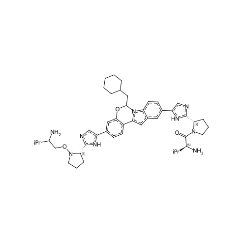 CC(C)C(N)CON1CCC[C@H]1c1ncc(-c2ccc3c(c2)OC(CC2CCCCC2)n2c-3cc3cc(-c4cnc([C@@H]5CCCN5C(=O)[C@@H](N)C(C)C)[nH]4)ccc32)[nH]1